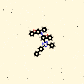 c1ccc(-c2ccc(-c3nc(-c4ccccc4)nc(-c4ccc(-n5c6ccccc6c6cc7oc8ccccc8c7cc65)c5oc6ccccc6c45)n3)cc2)cc1